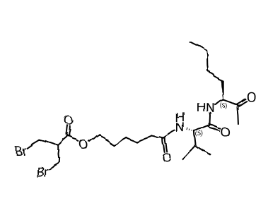 CCCC[C@H](NC(=O)[C@@H](NC(=O)CCCCCOC(=O)C(CBr)CBr)C(C)C)C(C)=O